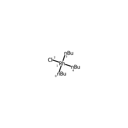 CCC[CH2][Rh]([Cl])([CH2]CCC)[CH2]CCC